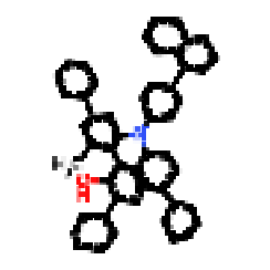 Cc1cc(-c2ccccc2)cc(N(c2ccc(-c3ccccc3)cc2)c2ccc(-c3cccc4ccccc34)cc2)c1-c1cccc(-c2ccccc2)c1O